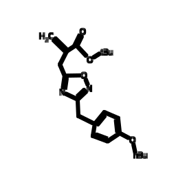 C=C(Cc1nc(Cc2ccc(OCCCC)cc2)no1)C(=O)OC(C)(C)C